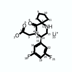 O=C([O-])CN1C(=O)C2(CCCC2)NC[C@H]1c1cc(F)cc(F)c1.[Li+]